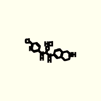 Cl.O=C(Nc1ccc(Cl)nc1)Nc1ccc2c(c1)CCNC2